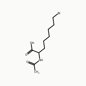 CC(=O)NC(CCCCCCBr)C(=O)O